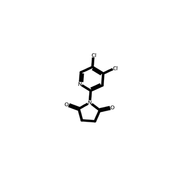 O=C1CCC(=O)N1c1cc(Cl)c(Cl)cn1